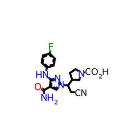 N#CCC(C1CCN(C(=O)O)C1)n1cc(C(N)=O)c(Nc2ccc(F)cc2)n1